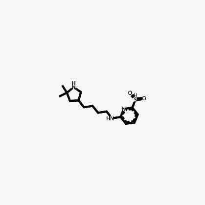 CC1(C)CC(CCCCNc2cccc([SH](=O)=O)n2)CN1